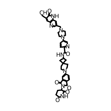 CCc1cc2ncc(CN3CCN(c4ccc(C(=O)NC5CC6(CCN(c7ccc8c(c7)C(=O)N(C7CCC(=O)NC7=O)C8=O)CC6)C5)nc4)CC3)cc2[nH]c1=O